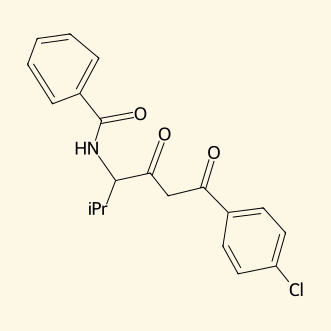 CC(C)C(NC(=O)c1ccccc1)C(=O)CC(=O)c1ccc(Cl)cc1